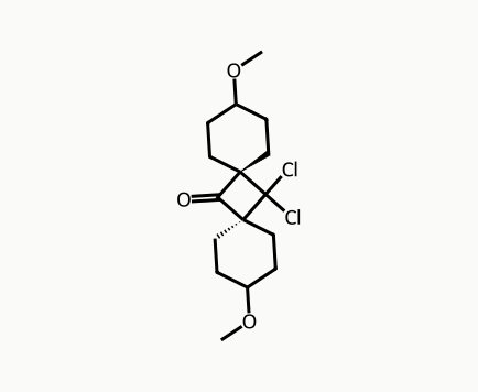 COC1CC[C@]2(CC1)C(=O)[C@@]1(CCC(OC)CC1)C2(Cl)Cl